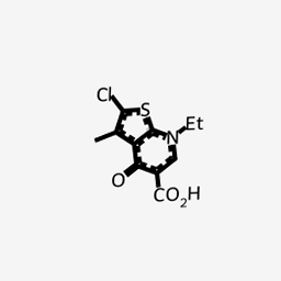 CCn1cc(C(=O)O)c(=O)c2c(C)c(Cl)sc21